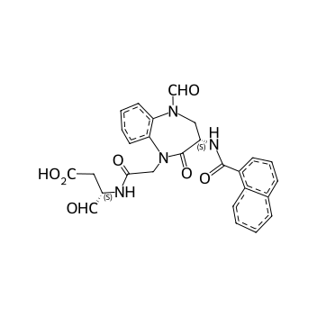 O=C[C@H](CC(=O)O)NC(=O)CN1C(=O)[C@@H](NC(=O)c2cccc3ccccc23)CN(C=O)c2ccccc21